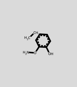 CC.NOc1ccccc1O